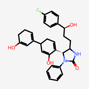 O=C1NC(CC[C@H](O)c2ccc(F)cc2)[C@@H](C2=CCC(C3=CCCC(O)=C3)C=C2O)N1c1ccccc1